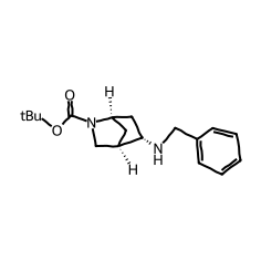 CC(C)(C)OC(=O)N1C[C@H]2C[C@@H]1C[C@@H]2NCc1ccccc1